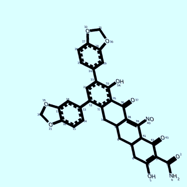 NC(=O)C1=C(O)CC2CC3Cc4c(-c5ccc6c(c5)OCO6)cc(-c5ccc6c(c5)OCO6)c(O)c4C(=O)C3=C(N=O)C2C1=O